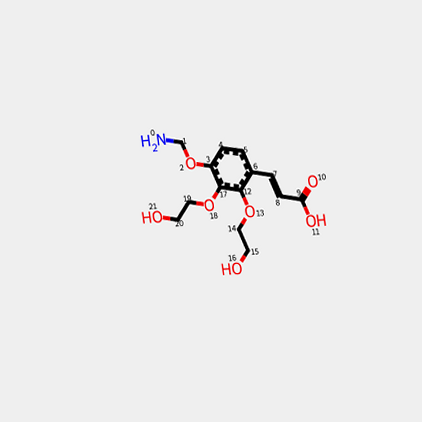 NCOc1ccc(C=CC(=O)O)c(OCCO)c1OCCO